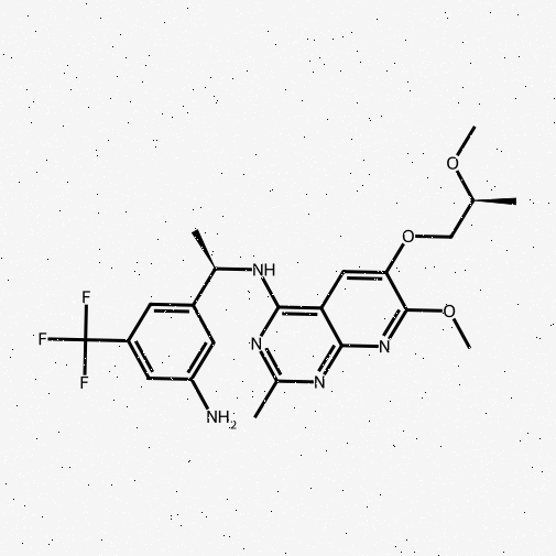 COc1nc2nc(C)nc(N[C@H](C)c3cc(N)cc(C(F)(F)F)c3)c2cc1OC[C@H](C)OC